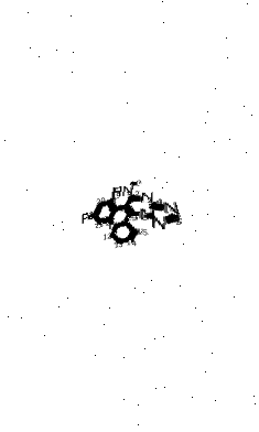 CNc1nc2ncnn2c(C2CCCCC2)c1-c1c(F)cc(F)cc1F